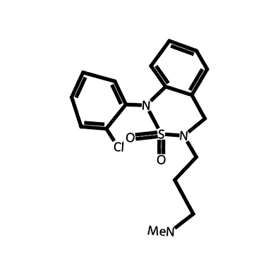 CNCCCN1Cc2ccccc2N(c2ccccc2Cl)S1(=O)=O